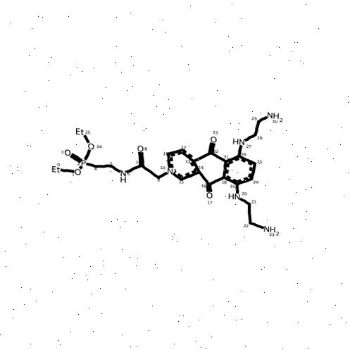 CCOP(=O)(CCNC(=O)C[n+]1ccc2c(c1)C(=O)c1c(NCCN)ccc(NCCN)c1C2=O)OCC